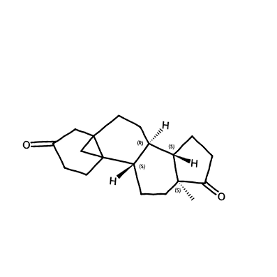 C[C@]12CC[C@H]3[C@@H](CCC45CC(=O)CCC34C5)[C@@H]1CCC2=O